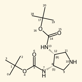 CC(C)(C)OC(=O)N[C@H]1CNC[C@H]1NC(=O)OC(C)(C)C